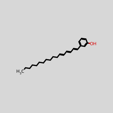 CCCCCCCCCCCC=CC=CC=Cc1cccc(O)c1